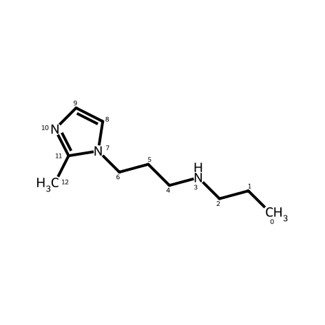 CCCNCCCn1ccnc1C